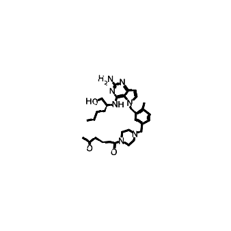 CCCC[C@@H](CO)Nc1nc(N)nc2ccn(Cc3cc(CN4CCN(C(=O)CCCC(C)=O)CC4)ccc3C)c12